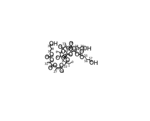 CCC(COC(=O)C(C)OC(=O)C(C)OC(=O)OCCCO)(COC(=O)C(C)OC(=O)C(C)OC(=O)OCCCO)OC(=O)C(C)OC(=O)C(C)OC(=O)OCCCO